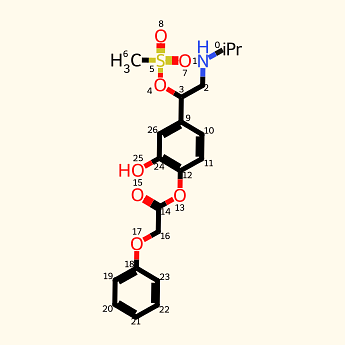 CC(C)NCC(OS(C)(=O)=O)c1ccc(OC(=O)COc2ccccc2)c(O)c1